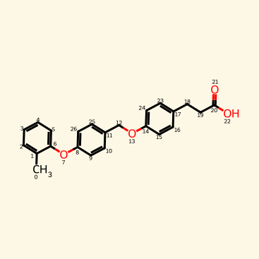 Cc1ccccc1Oc1ccc(COc2ccc(CCC(=O)O)cc2)cc1